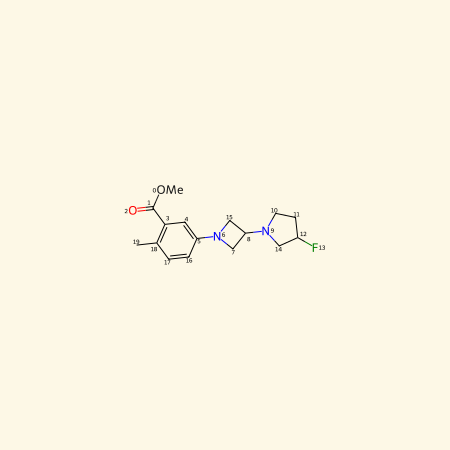 COC(=O)c1cc(N2CC(N3CCC(F)C3)C2)ccc1C